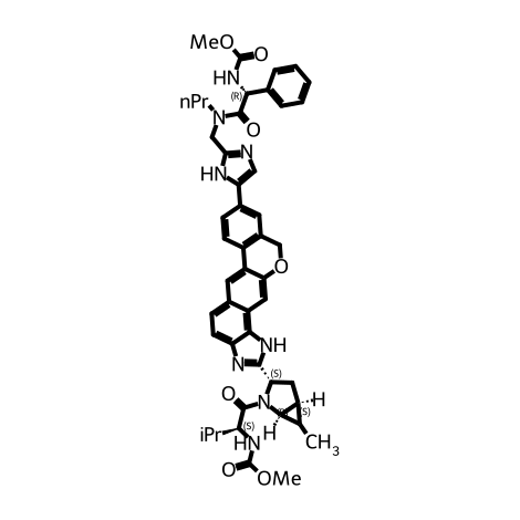 CCCN(Cc1ncc(-c2ccc3c(c2)COc2cc4c(ccc5nc([C@@H]6C[C@H]7C(C)[C@H]7N6C(=O)[C@@H](NC(=O)OC)C(C)C)[nH]c54)cc2-3)[nH]1)C(=O)[C@H](NC(=O)OC)c1ccccc1